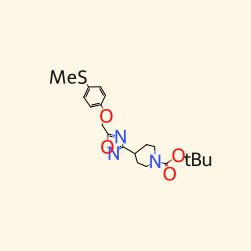 CSc1ccc(OCc2nc(C3CCN(C(=O)OC(C)(C)C)CC3)no2)cc1